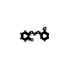 Clc1ccccc1[O][Zr][O]c1ccccc1Cl